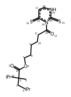 CC(C)CC(C)(C(=O)OCCCCCC(=O)n1c(=S)cc[nH]c1=S)C(C)C